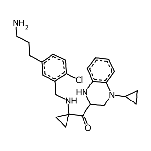 NCCCc1ccc(Cl)c(CNC2(C(=O)C3CN(C4CC4)c4ccccc4N3)CC2)c1